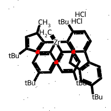 Cl.Cl.[CH2]=[Zr]([C]1=CC(C(C)(C)C)=CC1C)([c]1ccc(C(C)(C)C)cc1)([c]1ccc(C(C)(C)C)cc1)[c]1c(C(C)(C)C)ccc2c1Cc1cc(C(C)(C)C)ccc1-2